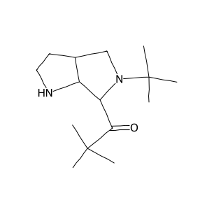 CC(C)(C)C(=O)C1C2NCCC2CN1C(C)(C)C